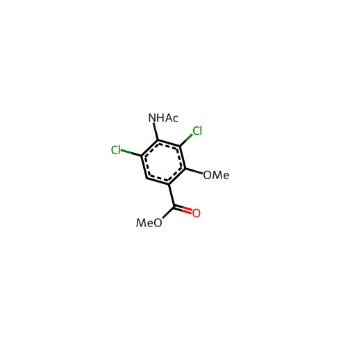 COC(=O)c1cc(Cl)c(NC(C)=O)c(Cl)c1OC